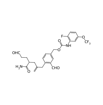 C=C(Cc1ccc(COC(=O)Nc2cc(OC(F)(F)F)ccc2F)cc1C=O)CC(CCC=O)C(N)=O